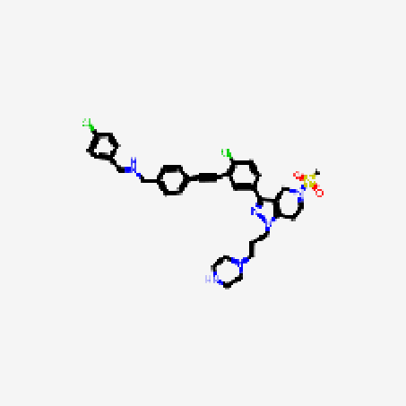 CS(=O)(=O)N1CCc2c(c(-c3ccc(Cl)c(C#Cc4ccc(CNCc5ccc(Cl)cc5)cc4)c3)nn2CCCN2CCNCC2)C1